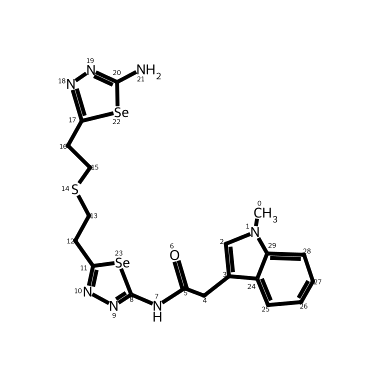 Cn1cc(CC(=O)Nc2nnc(CCSCCc3nnc(N)[se]3)[se]2)c2ccccc21